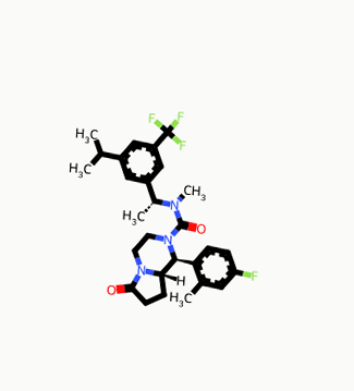 Cc1cc(F)ccc1[C@H]1[C@@H]2CCC(=O)N2CCN1C(=O)N(C)[C@H](C)c1cc(C(C)C)cc(C(F)(F)F)c1